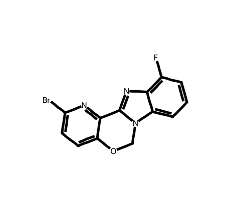 Fc1cccc2c1nc1n2COc2ccc(Br)nc2-1